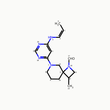 C/C=C\Nc1cc(N2CCCC3(C2)C(C)CN3C=O)ncn1